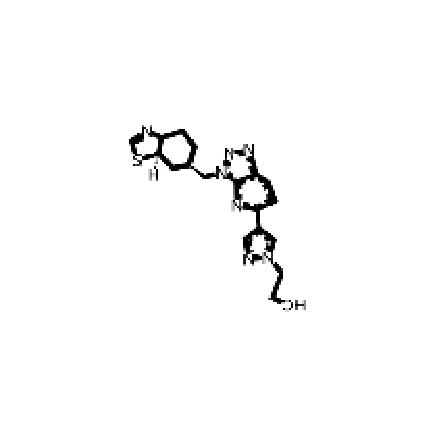 OCCn1cc(-c2ccc3nnn(C[C@@H]4CCC5N=CS[C@@H]5C4)c3n2)cn1